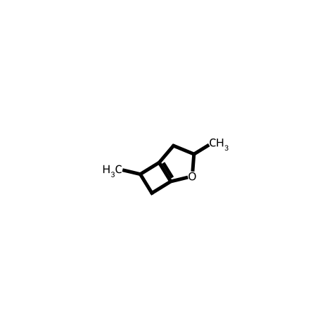 CC1CC2=C(CC2C)O1